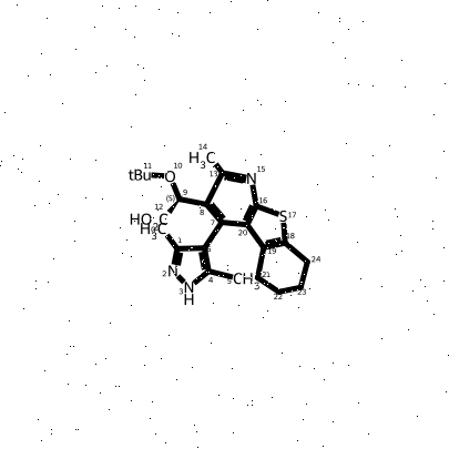 Cc1n[nH]c(C)c1-c1c([C@H](OC(C)(C)C)C(=O)O)c(C)nc2sc3c(c12)CCCC3